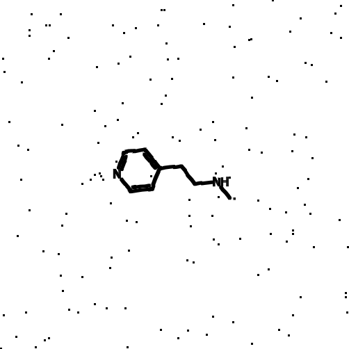 [CH2]NCCc1ccncc1